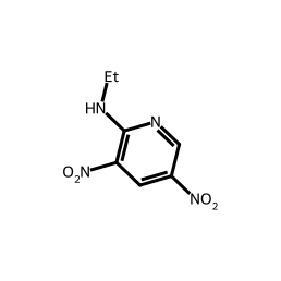 CCNc1ncc([N+](=O)[O-])cc1[N+](=O)[O-]